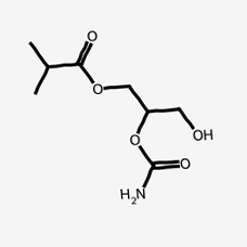 CC(C)C(=O)OCC(CO)OC(N)=O